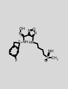 CS(=N)(=O)CCCCNc1nonc1/C(=N\O)N[C@H]1Cc2ccc(F)cc21